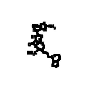 CON=C(C(=O)N[C@@H]1C(=O)N2C(C(=O)O)=C(C=CC[n+]3cccc4ccsc43)CS[C@H]12)c1csc(N)n1